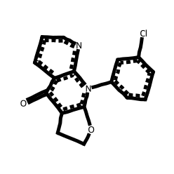 O=c1c2c(n(-c3cccc(Cl)c3)c3ncccc13)OCC2